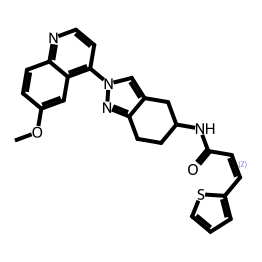 COc1ccc2nccc(-n3cc4c(n3)CCC(NC(=O)/C=C\c3cccs3)C4)c2c1